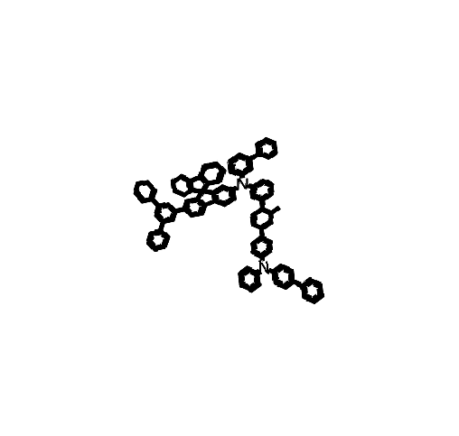 CC1C=C(c2ccc(N(c3ccccc3)c3ccc(-c4ccccc4)cc3)cc2)C=CC1c1cccc(N(c2cccc(-c3ccccc3)c2)c2ccc3c(c2)C2(C4=C(CCCC4)C4C=CC=CC42)c2cc(-c4cc(C5=CCCC=C5)cc(-c5ccccc5)c4)ccc2-3)c1